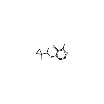 CC(Oc1ccnn(C)c1=O)C1(C)CC1